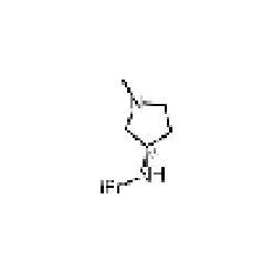 CC(C)N[C@@H]1CCN(C)C1